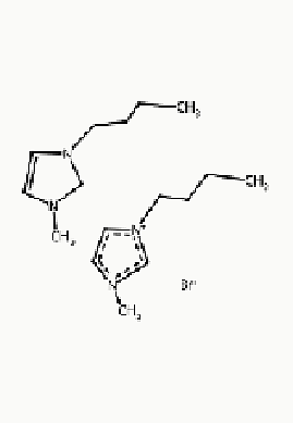 CCCCN1C=CN(C)C1.CCCC[n+]1ccn(C)c1.[Br-]